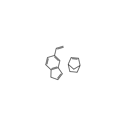 C1=CC2CCC1C2.C=Cc1ccc2c(c1)C=CC2